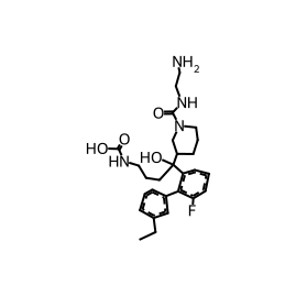 CCc1cccc(-c2c(F)cccc2C(O)(CCCNC(=O)O)C2CCCN(C(=O)NCCN)C2)c1